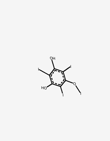 Oc1c(I)c(O)c(I)c(OI)c1I